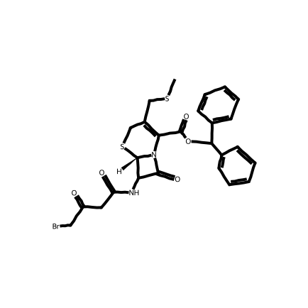 CSCC1=C(C(=O)OC(c2ccccc2)c2ccccc2)N2C(=O)C(NC(=O)CC(=O)CBr)[C@@H]2SC1